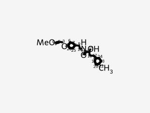 COC#CCOc1ccc(CCNC(=O)C(O)CCc2ccc(C)cc2)cc1